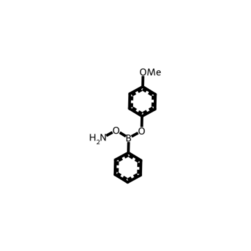 COc1ccc(OB(ON)c2ccccc2)cc1